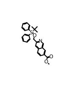 COC(=O)c1ccc2cc(CO[Si](c3ccccc3)(c3ccccc3)C(C)(C)C)ncc2c1